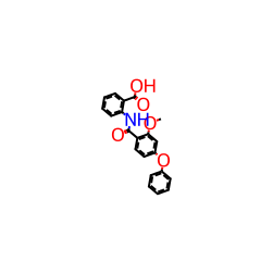 COc1cc(Oc2ccccc2)ccc1C(=O)Nc1ccccc1C(=O)O